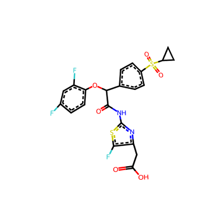 O=C(O)Cc1nc(NC(=O)C(Oc2ccc(F)cc2F)c2ccc(S(=O)(=O)C3CC3)cc2)sc1F